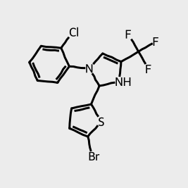 FC(F)(F)C1=CN(c2ccccc2Cl)C(c2ccc(Br)s2)N1